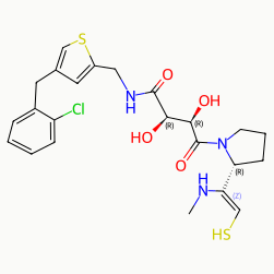 CN/C(=C\S)[C@H]1CCCN1C(=O)[C@H](O)[C@@H](O)C(=O)NCc1cc(Cc2ccccc2Cl)cs1